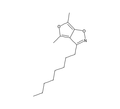 CCCCCCCCc1noc2c(C)oc(C)c12